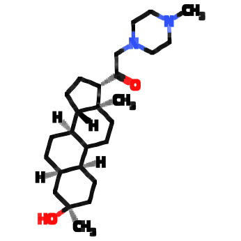 CN1CCN(CC(=O)[C@H]2CC[C@H]3[C@@H]4CC[C@@H]5C[C@](C)(O)CC[C@@H]5C4CC[C@]23C)CC1